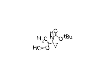 C#COC(=C)C1(NC(=O)OC(C)(C)C)CC1